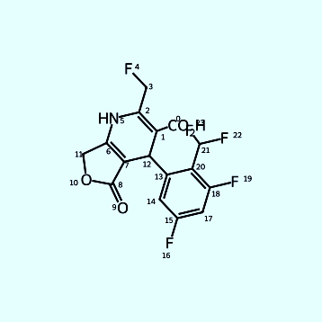 O=C(O)C1=C(CF)NC2=C(C(=O)OC2)C1c1cc(F)cc(F)c1C(F)F